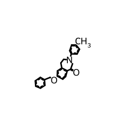 Cc1ccc(N2CCc3cc(OCc4ccccc4)ccc3C(=O)C2)cc1